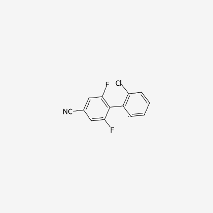 N#Cc1cc(F)c(-c2[c]cccc2Cl)c(F)c1